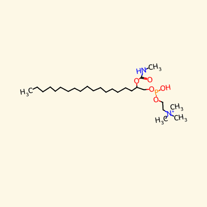 CCCCCCCCCCCCCCCCCC(COP(O)OCC[N+](C)(C)C)OC(=O)NC